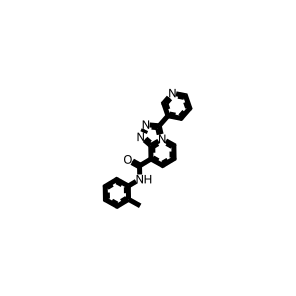 Cc1ccccc1NC(=O)c1cccn2c(-c3cccnc3)nnc12